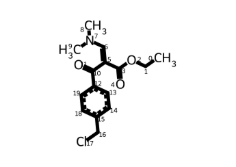 CCOC(=O)/C(=C/N(C)C)C(=O)c1ccc(CCl)cc1